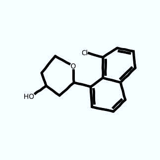 OC1CCOC(c2cccc3cccc(Cl)c23)C1